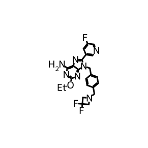 CCOc1nc(N)c2nc(-c3cncc(F)c3)n(Cc3ccc(CN4CC(F)(F)C4)cc3)c2n1